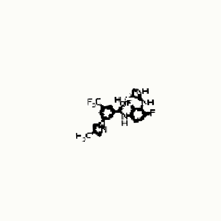 Cc1cnn(-c2cc(C(=O)Nc3ccc(F)c(NC4NC[C@@H]4C)c3F)cc(C(F)(F)F)c2)c1